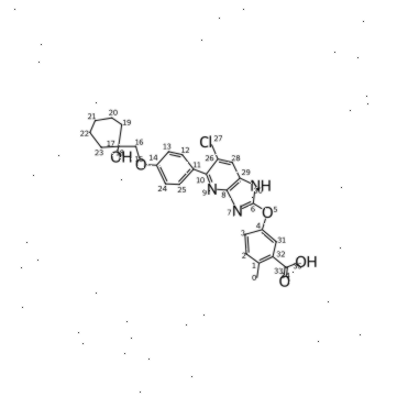 Cc1ccc(Oc2nc3nc(-c4ccc(OCC5(O)CCCCC5)cc4)c(Cl)cc3[nH]2)cc1C(=O)O